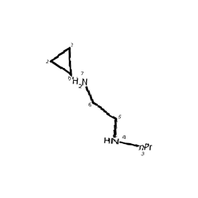 C1CC1.CCCNCCN